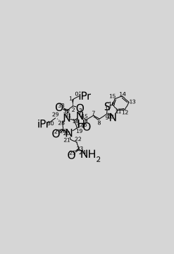 CC(C)C[C@H]1ON(C(=O)/C=C/c2nc3ccccc3s2)[C@H]2CN(CCC(N)=O)C(=O)[C@H](CC(C)C)N2C1=O